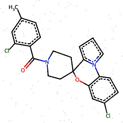 Cc1ccc(C(=O)N2CCC3(CC2)Oc2cc(Cl)ccc2-n2cccc23)c(Cl)c1